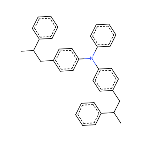 CC(Cc1ccc(N(c2ccccc2)c2ccc(CC(C)c3ccccc3)cc2)cc1)c1ccccc1